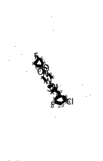 O=S(=O)(c1ccc(F)cc1)N1CCN(c2nc(Cc3cc(F)cc(Cl)c3)cs2)CC1